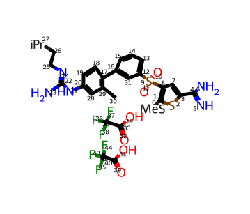 CSc1sc(C(=N)N)cc1S(=O)(=O)c1cccc(-c2ccc(NC(N)=NCCC(C)C)cc2C)c1.O=C(O)C(F)(F)F.O=C(O)C(F)(F)F